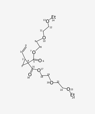 C=CC1CC1(C(=O)OCCOCCOCC)C(=O)OCCOCCOCC